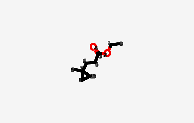 CCOC(=O)CCC1(C)CC1